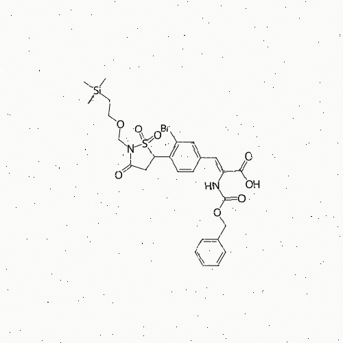 C[Si](C)(C)CCOCN1C(=O)CC(c2ccc(/C=C(\NC(=O)OCc3ccccc3)C(=O)O)cc2Br)S1(=O)=O